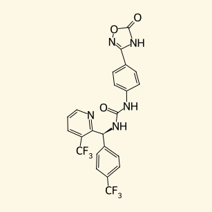 O=C(Nc1ccc(-c2noc(=O)[nH]2)cc1)N[C@@H](c1ccc(C(F)(F)F)cc1)c1ncccc1C(F)(F)F